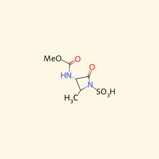 COC(=O)N[C@@H]1C(=O)N(S(=O)(=O)O)C1C